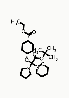 CCOC(=O)[C@H]1CC[C@H](OC(C(=O)OC(C)(C)C)(N2CCCC2)N2CCCCO2)CC1